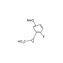 COc1ccc(F)c(C2CC2C(=O)O)c1